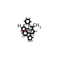 Cc1ccccc1N1C(C2CCCC2)N2C(C=CC2(c2ccccc2)C2CCCC2)[C@@H]1C